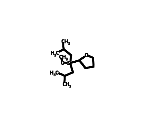 CO[Si](CC(C)C)(CC(C)C)C1CCCO1